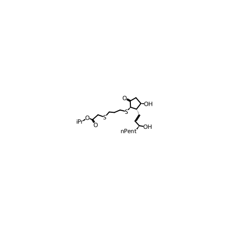 CCCCC[C@H](O)/C=C/[C@H]1[C@H](O)CC(=O)[C@@H]1SCCCSCC(=O)OC(C)C